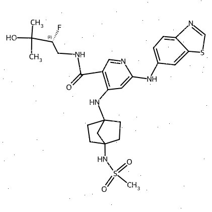 CC(C)(O)[C@H](F)CNC(=O)c1cnc(Nc2ccc3ncsc3c2)cc1NC12CCC(NS(C)(=O)=O)(CC1)C2